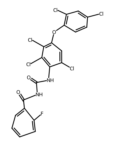 O=C(NC(=O)c1ccccc1F)Nc1c(Cl)cc(Oc2ccc(Cl)cc2Cl)c(Cl)c1Cl